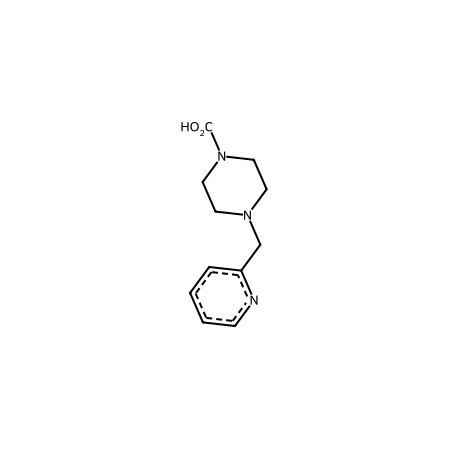 O=C(O)N1CCN(Cc2ccccn2)CC1